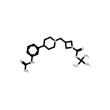 CC(=O)Nc1cccc(C2CCN(CC3CN(C(=O)OC(C)(C)C)C3)CC2)c1